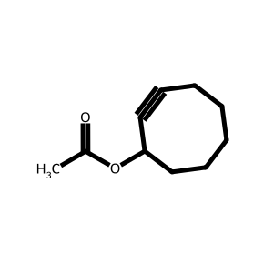 CC(=O)OC1C#CCCCCC1